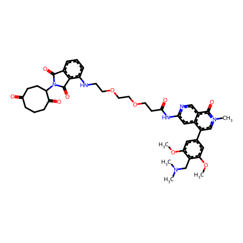 COc1cc(-c2cn(C)c(=O)c3cnc(NC(=O)CCOCCOCCNc4cccc5c4C(=O)N(C4CCC(=O)CCCC4=O)C5=O)cc23)cc(OC)c1CN(C)C